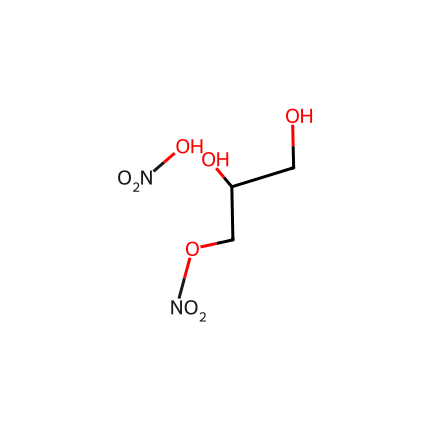 O=[N+]([O-])O.O=[N+]([O-])OCC(O)CO